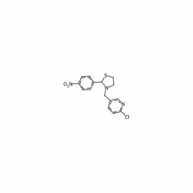 O=[N+]([O-])c1ccc(C2SCCN2Cc2ccc(Cl)nc2)cc1